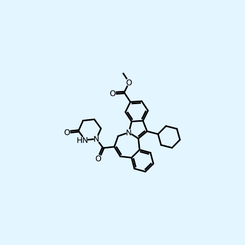 COC(=O)c1ccc2c(C3CCCCC3)c3n(c2c1)CC(C(=O)N1CCCC(=O)N1)=Cc1ccccc1-3